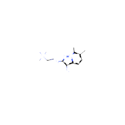 Cc1ccc2c(N)c(NCC[N+](C)(C)C)nn2c1C.[Cl-]